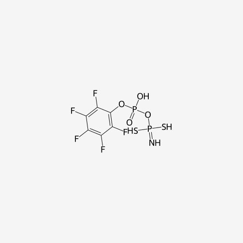 N=P(S)(S)OP(=O)(O)Oc1c(F)c(F)c(F)c(F)c1F